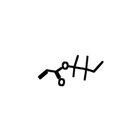 C=CC(=O)OC(C)(C)C(C)(C)CC